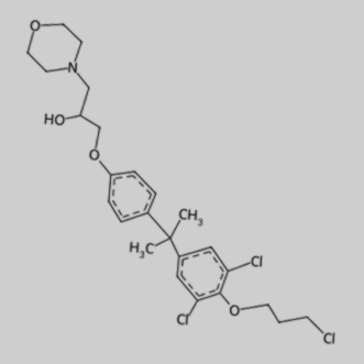 CC(C)(c1ccc(OCC(O)CN2CCOCC2)cc1)c1cc(Cl)c(OCCCCl)c(Cl)c1